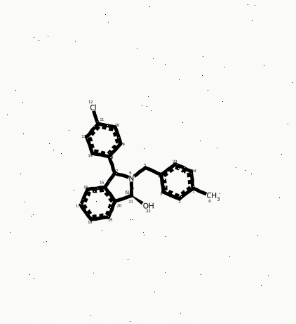 Cc1ccc(CN2C(c3ccc(Cl)cc3)c3ccccc3[C@@H]2O)cc1